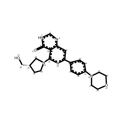 O=c1[nH]cnc2cc(-c3ccc(N4CCOCC4)cc3)nc(N3CC[C@H](CO)C3)c12